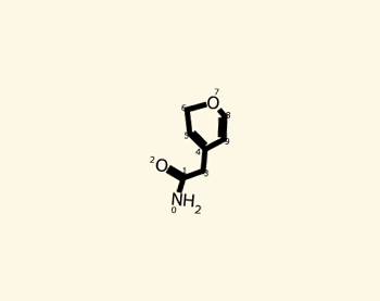 NC(=O)CC1=CCOC=C1